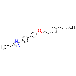 CCCCCC1CCC(CCCOc2ccc(-c3ccc(-c4ncc(CCC)cn4)cc3)cc2)CC1